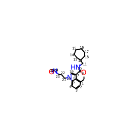 Cc1cccc2c1c(C(=O)NCC1CCCCCC1)cn2CCCN=O